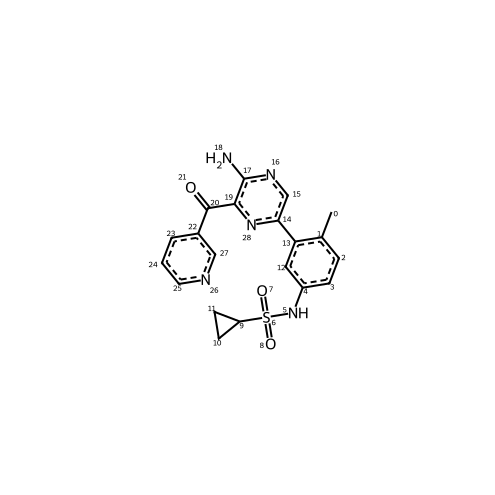 Cc1ccc(NS(=O)(=O)C2CC2)cc1-c1cnc(N)c(C(=O)c2cccnc2)n1